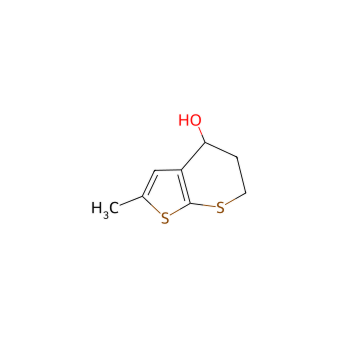 Cc1cc2c(s1)SCCC2O